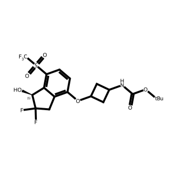 CC(C)(C)OC(=O)NC1CC(Oc2ccc(S(=O)(=O)C(F)(F)F)c3c2CC(F)(F)[C@H]3O)C1